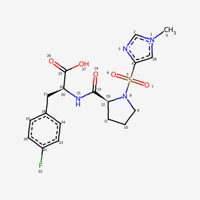 Cn1cnc(S(=O)(=O)N2CCC[C@H]2C(=O)N[C@@H](Cc2ccc(F)cc2)C(=O)O)c1